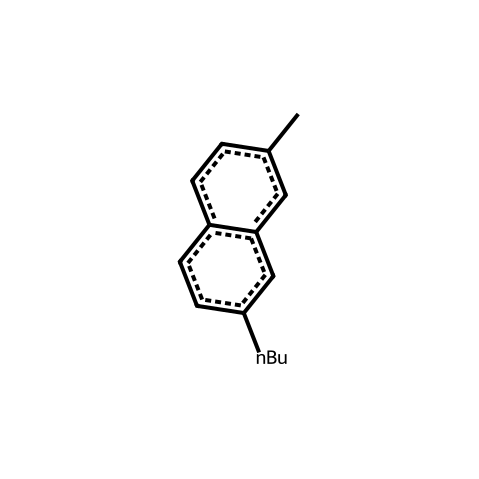 CCCCc1ccc2ccc(C)cc2c1